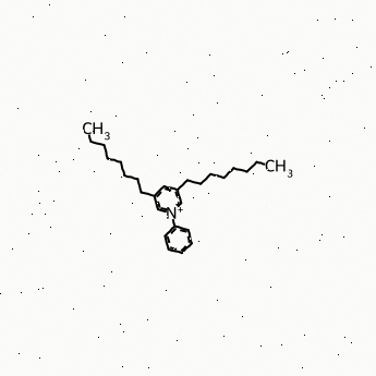 CCCCCCCCc1cc(CCCCCCCC)c[n+](-c2ccccc2)c1